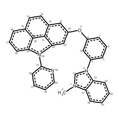 C[n+]1cn(-c2cccc(Oc3cc4ccc5cccc6c5c4c(c3)n6-c3ccccn3)c2)c2ccccc21